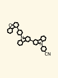 N#Cc1ccc(-n2c3ccccc3c3cc(-c4ccc5c(c4)c4ccccc4n5-c4ccc(-c5cccc6oc7ccccc7c56)cc4)ccc32)cc1